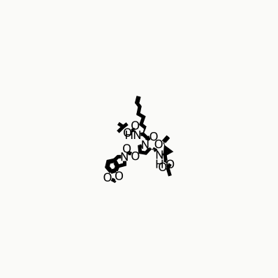 C=CCCCCC[C@H](NC(=O)OC(C)(C)C)C(=O)N1C[C@H](OC(=O)N2Cc3ccc4c(c3C2)OCO4)C[C@H]1C(=O)N[C@]1(C2OC(C)O2)C[C@H]1C=C